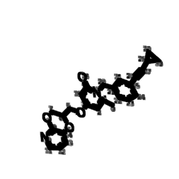 Cc1cc(OCC2COc3ncccc3O2)cc(=O)n1Cc1cccc(C#CC2CC2)c1